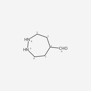 O=CC1CCNNCC1